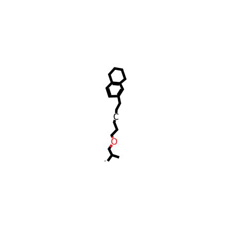 [CH2]C(C)COCCCCCCc1ccc2c(c1)CCCC2